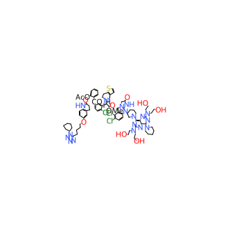 CC(=O)Oc1ccccc1C(=O)O.COC(=O)[C@H](c1ccccc1Cl)N1CCc2sccc2C1.O=C1CCc2cc(OCCCCc3nnnn3C3CCCCC3)ccc2N1.O=C1CN2Cc3c(ccc(Cl)c3Cl)N=C2N1.OCCN(CCO)c1nc(N2CCCCC2)c2nc(N(CCO)CCO)nc(N3CCCCC3)c2n1